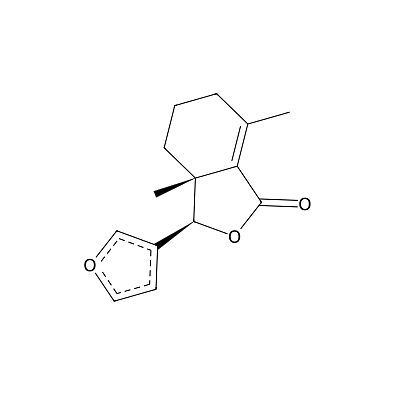 CC1=C2C(=O)O[C@@H](c3ccoc3)[C@]2(C)CCC1